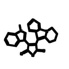 Cn1cc(C2=C(c3c4n(c5ccccc35)CCCC4)C(=O)OC2=O)c2ccccc21